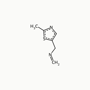 C=NCc1cnc(C)s1